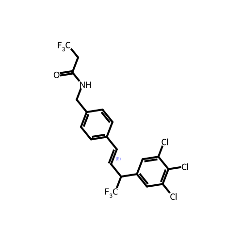 O=C(CC(F)(F)F)NCc1ccc(/C=C/C(c2cc(Cl)c(Cl)c(Cl)c2)C(F)(F)F)cc1